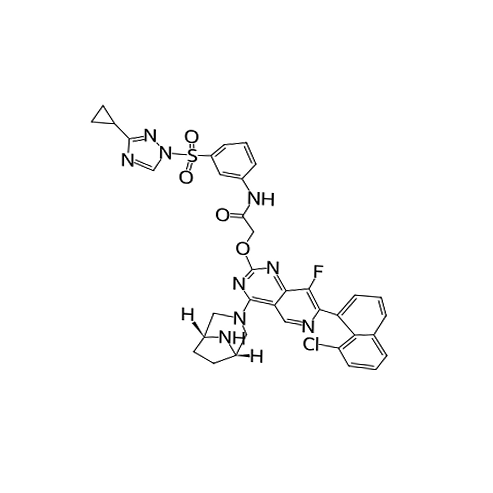 O=C(COc1nc(N2C[C@H]3CC[C@@H](C2)N3)c2cnc(-c3cccc4cccc(Cl)c34)c(F)c2n1)Nc1cccc(S(=O)(=O)n2cnc(C3CC3)n2)c1